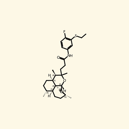 CCSc1cc(NC(=O)CCC2(C)O[C@@H]3O[C@]4(C)CC[C@H]5[C@H](C)CC[C@@H]([C@H]2C)[C@@]35OO4)ccc1F